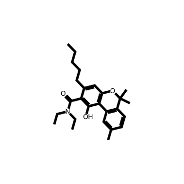 CCCCCc1cc2c(c(O)c1C(=O)N(CC)CC)-c1cc(C)ccc1C(C)(C)O2